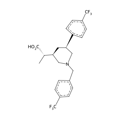 C[C@H](C(=O)O)[C@H]1C[C@@H](c2ccc(C(F)(F)F)cc2)CN(Cc2ccc(C(F)(F)F)cc2)C1